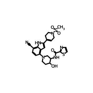 CS(=O)(=O)N1CC=C(c2cc3c(N4CCC(O)C(NC(=O)c5nccs5)C4)ccc(C#N)c3[nH]2)CC1